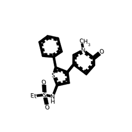 CCS(=O)(=O)Nc1cc(-c2ccc(=O)n(C)c2)c(-c2ccccc2)s1